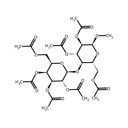 CO[C@H]1O[C@H](COC(C)=O)[C@@H](O[C@@H]2O[C@H](COC(C)=O)[C@H](OC(C)=O)[C@H](OC(C)=O)[C@H]2OC(C)=O)[C@H](OC(C)=O)[C@H]1OC(C)=O